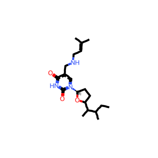 CCC(C)C(C)C1CC[C@H](n2cc(CNCC=C(C)C)c(=O)[nH]c2=O)O1